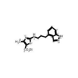 CCOC(=O)c1sc(NCCCc2cccc3[nH]ncc23)nc1C